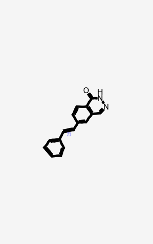 O=c1[nH]ncc2cc(/C=C/c3ccccc3)ccc12